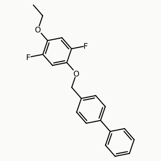 CCOc1cc(F)c(OCc2ccc(-c3ccccc3)cc2)cc1F